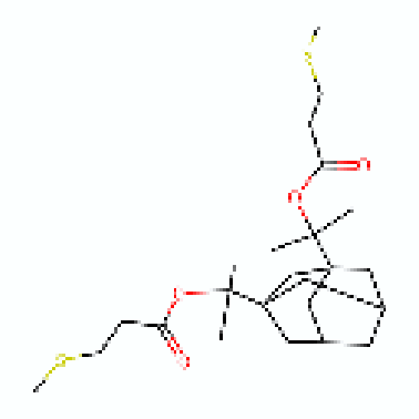 CSCCC(=O)OC(C)(C)C12CC3CC(C1)CC(C(C)(C)OC(=O)CCSC)(C3)C2